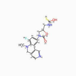 CN(Cc1ccncc1)c1ccc(N2CC(CNC(O)=S)OC2=O)cc1F